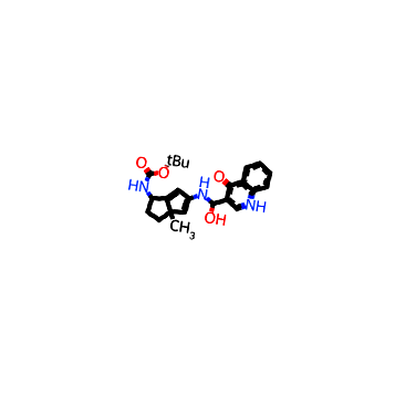 CC(C)(C)OC(=O)NC1CCC2(C)C=C(NC(O)c3c[nH]c4ccccc4c3=O)C=C12